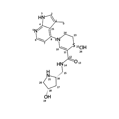 Cc1c[nH]c2nccc(N3C=C(C(=O)NC[C@@H]4C[C@H](O)CN4)SCC3)c12.Cl